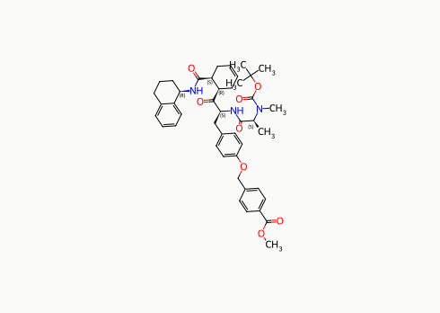 COC(=O)c1ccc(COc2ccc(C[C@H](NC(=O)[C@H](C)N(C)C(=O)OC(C)(C)C)C(=O)[C@@H]3CC=CC[C@@H]3C(=O)N[C@@H]3CCCc4ccccc43)cc2)cc1